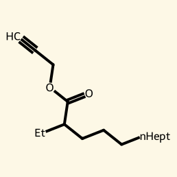 C#CCOC(=O)C(CC)CCCCCCCCCC